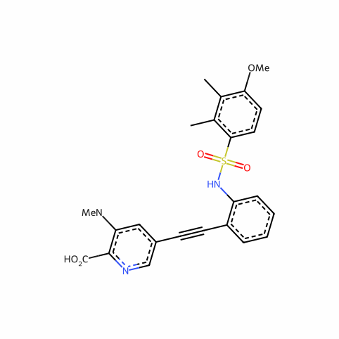 CNc1cc(C#Cc2ccccc2NS(=O)(=O)c2ccc(OC)c(C)c2C)cnc1C(=O)O